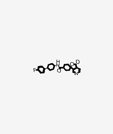 O=C1OC2(CCC(C(=O)N[C@H]3CC[C@H](c4ccc(F)cc4)CC3)CC2)c2cnccc21